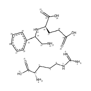 N=C(N)NCCC[C@H](N)C(=O)O.NCC(N[C@H](CCC(=O)O)C(=O)O)c1ccccc1